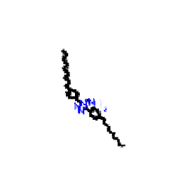 CCCCCCCCCc1ccc(-c2nnc(-c3ccc(CCCCCCCCC)cc3)n2CN)cc1